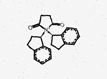 O=C1CCC(=O)[N+]1([C@@H]1CCc2ccccc21)[C@@H]1CCc2ccccc21